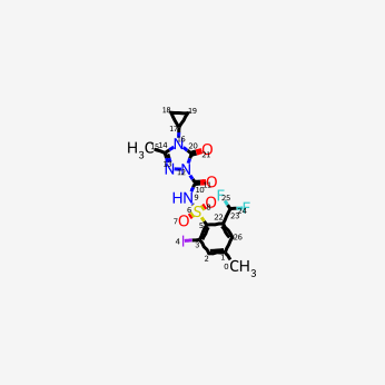 Cc1cc(I)c(S(=O)(=O)NC(=O)n2nc(C)n(C3CC3)c2=O)c(C(F)F)c1